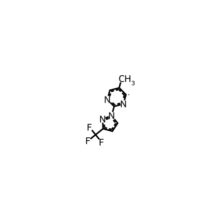 Cc1[c]nc(-n2ccc(C(F)(F)F)n2)nc1